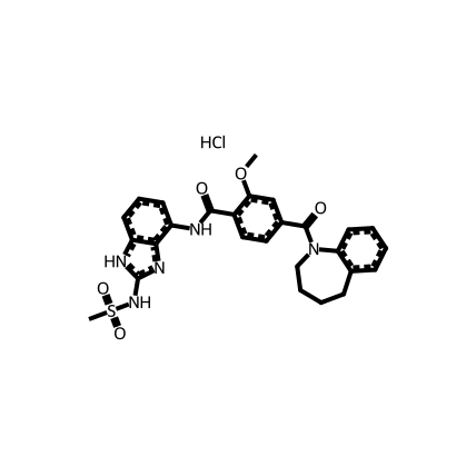 COc1cc(C(=O)N2CCCCc3ccccc32)ccc1C(=O)Nc1cccc2[nH]c(NS(C)(=O)=O)nc12.Cl